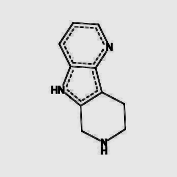 c1cnc2c3c([nH]c2c1)CNCC3